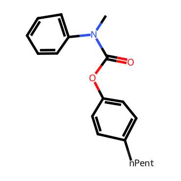 CCCCCc1ccc(OC(=O)N(C)c2ccccc2)cc1